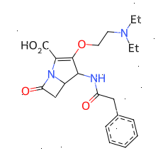 CCN(CC)CCOC1=C(C(=O)O)N2C(=O)CC2C1NC(=O)Cc1ccccc1